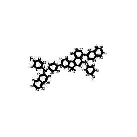 CC1(C)c2cc(-c3ccc(N(c4ccc(F)cc4)c4ccc5ccccc5c4)cc3)ccc2-c2c1cc(N(c1ccc(F)cc1)c1ccc3ccccc3c1)c1ccccc21